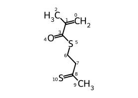 C=C(C)C(=O)SCCC(C)=S